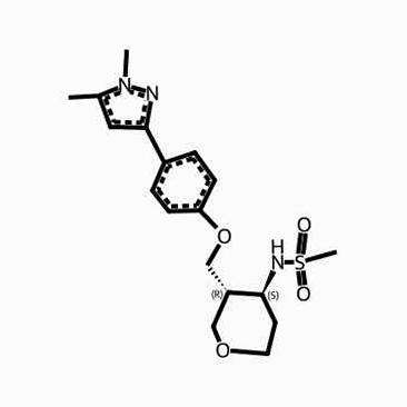 Cc1cc(-c2ccc(OC[C@H]3COCC[C@@H]3NS(C)(=O)=O)cc2)nn1C